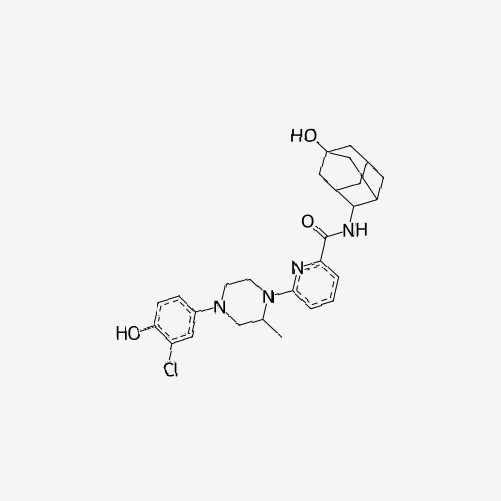 CC1CN(c2ccc(O)c(Cl)c2)CCN1c1cccc(C(=O)NC2C3CC4CC2CC(O)(C4)C3)n1